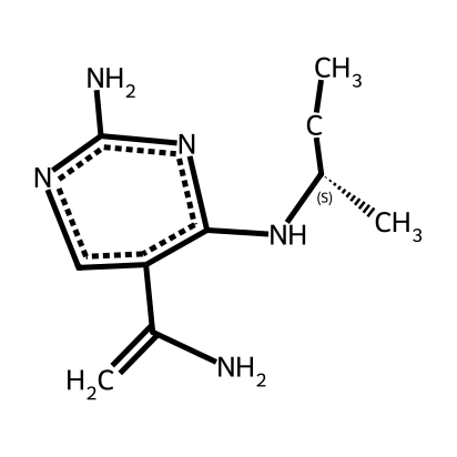 C=C(N)c1cnc(N)nc1N[C@@H](C)CC